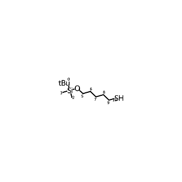 CC(C)(C)[Si](C)(C)OCCCCCS